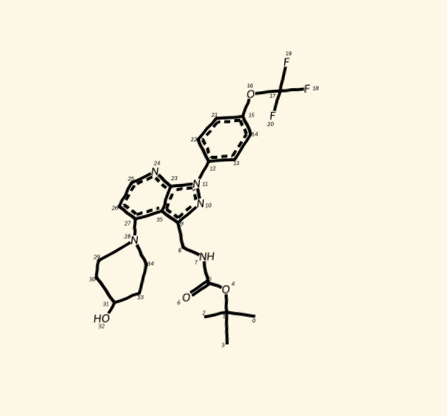 CC(C)(C)OC(=O)NCc1nn(-c2ccc(OC(F)(F)F)cc2)c2nccc(N3CCC(O)CC3)c12